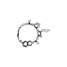 CC(C)(C)[C@@H]1NC(=O)OCCCC/C=C/COc2ccc3c(c2)CN(C3)C(=O)O[C@@H]2CC(C(=O)O)N(C2)C1=O